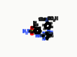 Cc1ccc(Nc2ncc3cnn([C@H]4CC[C@H](N(C(=O)O)C(C)(C)C)CC4)c3n2)cc1S(N)(=O)=O